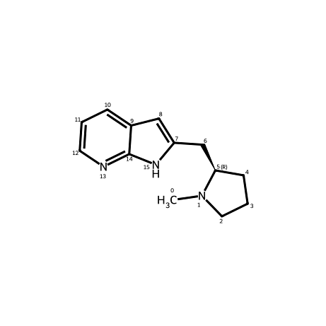 CN1CCC[C@@H]1Cc1cc2cccnc2[nH]1